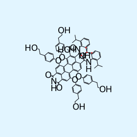 CC(C)c1cccc(C(C)C)c1NC(=N)c1c(C(=O)O)c(Oc2ccc(CCO)cc2)c2c3c(Oc4ccc(CCO)cc4)cc4c5c(cc(Oc6ccc(CCO)cc6)c(c6c(Oc7ccc(CCO)cc7)cc(C(=O)Nc7c(C(C)C)cccc7C(C)C)c1c62)c53)C(=O)NC4=O